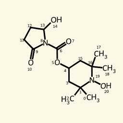 CC1(C)CC(OC(=O)N2C(=O)CCC2O)CC(C)(C)N1O